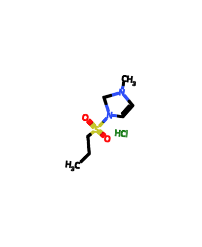 CCCS(=O)(=O)N1C=CN(C)C1.Cl